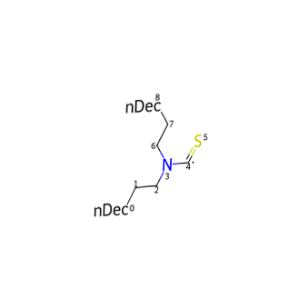 CCCCCCCCCCCCN([C]=S)CCCCCCCCCCCC